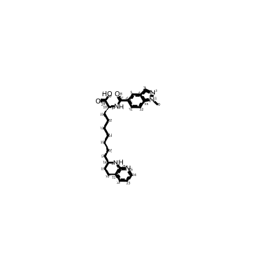 Cn1ncc2cc(C(=O)N[C@@H](CCCCCCCC3CCc4cccnc4N3)C(=O)O)ccc21